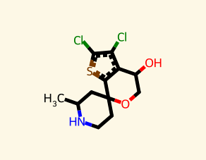 CC1CC2(CCN1)OCC(O)c1c2sc(Cl)c1Cl